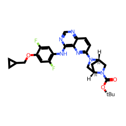 CC(C)(C)OC(=O)N1C[C@@H]2C[C@H]1CN2c1ccc2ncnc(Nc3cc(F)c(OCC4CC4)cc3F)c2n1